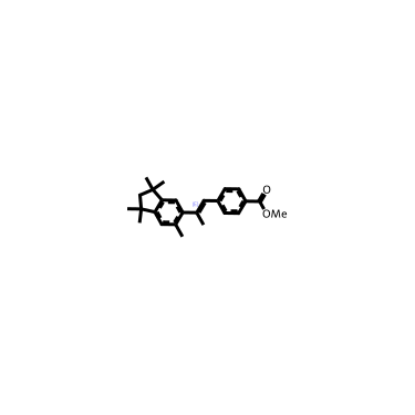 COC(=O)c1ccc(/C=C(\C)c2cc3c(cc2C)C(C)(C)CC3(C)C)cc1